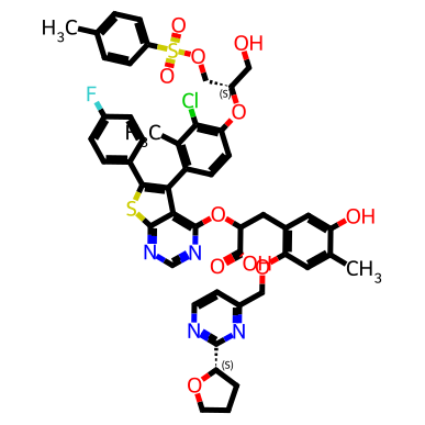 Cc1ccc(S(=O)(=O)OC[C@H](CO)Oc2ccc(-c3c(-c4ccc(F)cc4)sc4ncnc(OC(Cc5cc(O)c(C)cc5OCc5ccnc([C@@H]6CCCO6)n5)C(=O)O)c34)c(C)c2Cl)cc1